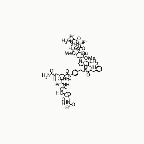 CCC(=O)NC[C@H]1O[C@@H](CC(=O)N[C@@H](C(=O)NC(CCCNC(N)=O)C(=O)Nc2ccc(CCNC(=O)[C@H](Cc3ccccc3)NC(=O)C(C)C(OC)[C@@H]3CCCN3C(=O)CC(OC)C(C(C)CC)N(C)C(=O)[C@@H](NC(=O)C(C(C)C)N(C)C)C(C)C)cc2)C(C)C)C(O)C1O